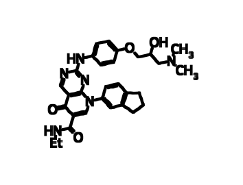 CCNC(=O)c1cn(-c2ccc3c(c2)CCC3)c2nc(Nc3ccc(OCC(O)CN(C)C)cc3)ncc2c1=O